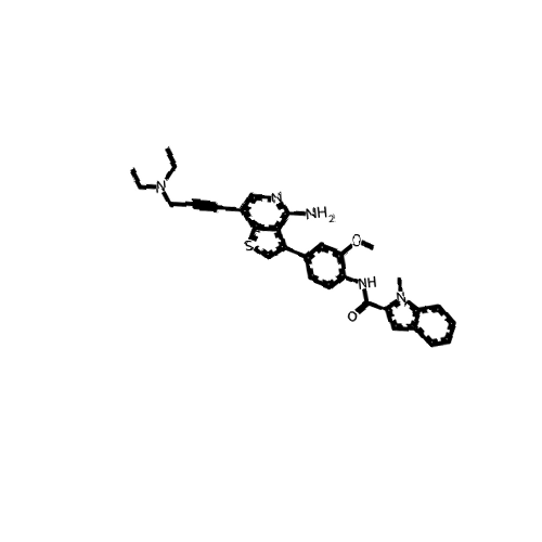 CCN(CC)CC#Cc1cnc(N)c2c(-c3ccc(NC(=O)c4cc5ccccc5n4C)c(OC)c3)csc12